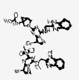 CS(=O)(=O)c1nc(NCc2nc3ccccc3[nH]2)n2ncc(Br)c2n1.O=C(O)NC12CC1CN(c1nc(NCc3nc4ccccc4[nH]3)n3ncc(Br)c3n1)C2